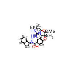 CCC1(CC)CC(=O)N([C@H]2c3cc(C(O)N[C@H]4CCc5ccccc54)ccc3O[C@@]2(C)COC)C(=N)N1